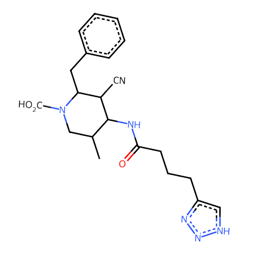 CC1CN(C(=O)O)C(Cc2ccccc2)C(C#N)C1NC(=O)CCCc1c[nH]nn1